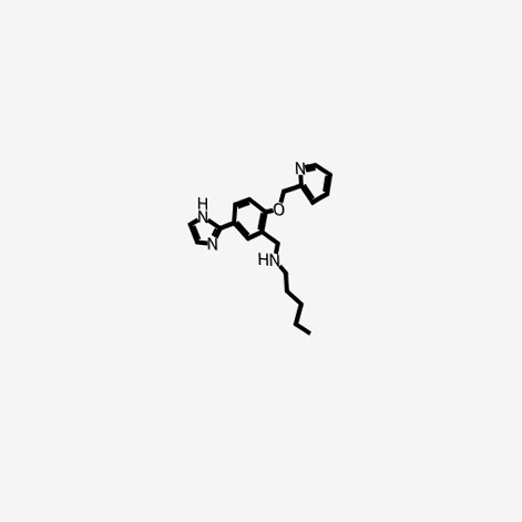 CCCCCNCc1cc(-c2ncc[nH]2)ccc1OCc1ccccn1